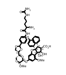 COc1ccc([C@@]23Oc4cc(O[C@@H]5O[C@@H]([C@H]6COC(c7ccc(NC(=O)C(N)CCCNC(N)=O)cc7)O6)CO[C@H]5OC)cc(OC)c4[C@]2(O)[C@H](O)[C@H](C(=O)O)[C@H]3c2ccccc2)cc1